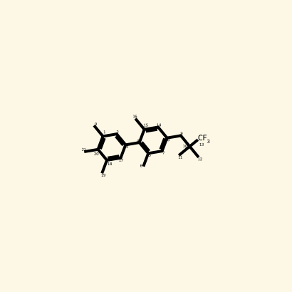 Cc1cc(-c2c(C)cc(CC(C)(C)C(F)(F)F)cc2C)cc(C)c1C